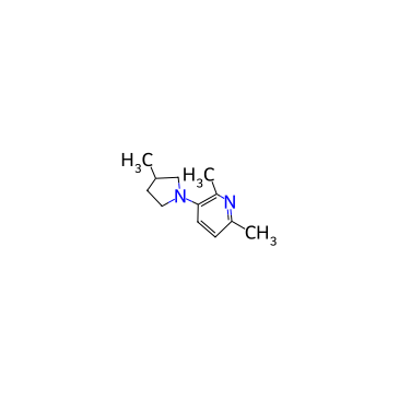 Cc1ccc(N2CCC(C)C2)c(C)n1